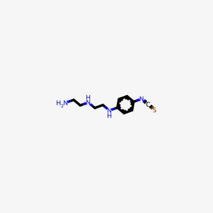 NCCNCCNc1ccc(N=C=S)cc1